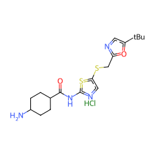 CC(C)(C)c1cnc(CSc2cnc(NC(=O)C3CCC(N)CC3)s2)o1.Cl